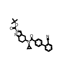 CC(C)(C)OC(=O)n1cc2c(n1)CCC(N(C(=O)c1ccc(-c3ccccc3C#N)cc1)C1CC1)C2